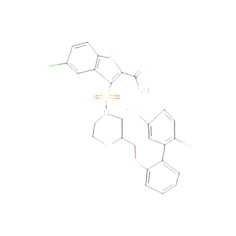 NC(=O)c1[nH]c2ccc(Cl)cc2c1S(=O)(=O)N1CCOC(COc2ccccc2-c2cc(C(F)(F)F)ccc2F)C1